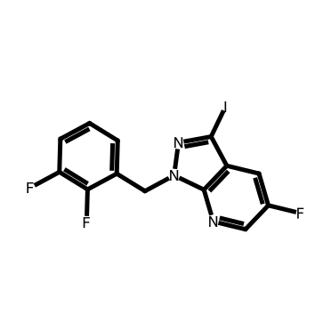 Fc1cnc2c(c1)c(I)nn2Cc1cccc(F)c1F